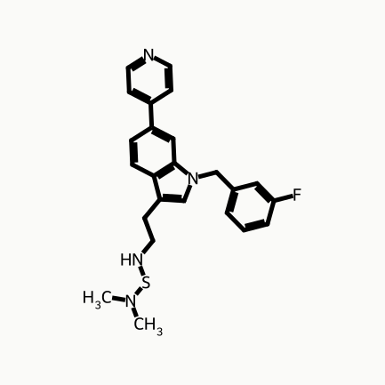 CN(C)SNCCc1cn(Cc2cccc(F)c2)c2cc(-c3ccncc3)ccc12